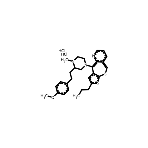 CCCc1cc2c(s1)SC=c1cccnc1=C2N1CCN(C)C(CCc2ccc(OC)cc2)C1.Cl.Cl